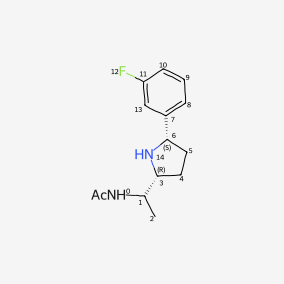 CC(=O)NC(C)[C@H]1CC[C@@H](c2cccc(F)c2)N1